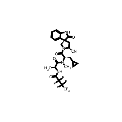 C[C@H](NC(=O)C(F)(F)C(F)(F)C(F)(F)F)C(=O)N(C)[C@@H](CC1CC1)C(=O)N1C[C@]2(C[C@H]1C#N)C(=O)Nc1ccccc12